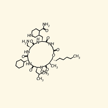 CCCCCC[C@H]1OC(=O)CNC(=O)[C@H](CC2CNCCC2C(N)=O)NC(=O)[C@H](CN)NC(=O)[C@H](C2CCCCC2)NC(=O)[C@H](CC(C)C)N(C)C(=O)[C@@H]1C